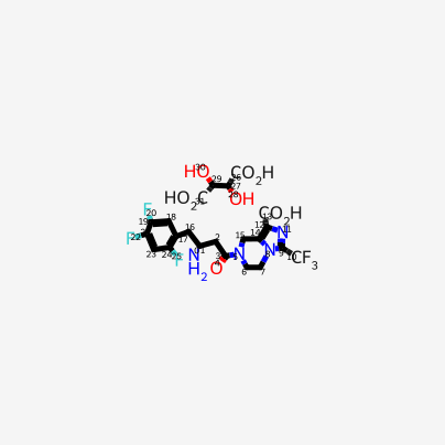 N[C@H](CC(=O)N1CCn2c(C(F)(F)F)nc(C(=O)O)c2C1)Cc1cc(F)c(F)cc1F.O=C(O)C(O)C(O)C(=O)O